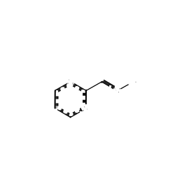 ON=Cc1ncccn1